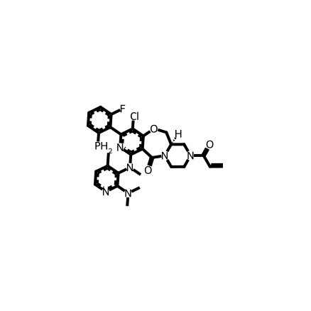 C=CC(=O)N1CCN2C(=O)c3c(N(C)c4c(C)ccnc4N(C)C)nc(-c4c(F)cccc4P)c(Cl)c3OC[C@H]2C1